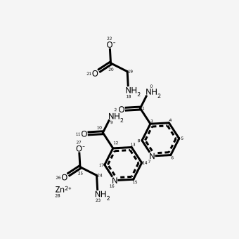 NC(=O)c1cccnc1.NC(=O)c1cccnc1.NCC(=O)[O-].NCC(=O)[O-].[Zn+2]